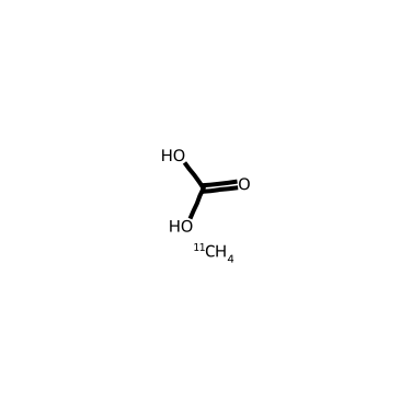 O=C(O)O.[11CH4]